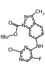 Cc1nn(C(=O)OC(C)(C)C)c2cc(Nc3nc(Cl)ncc3F)ccc12